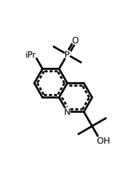 CC(C)c1ccc2nc(C(C)(C)O)ccc2c1P(C)(C)=O